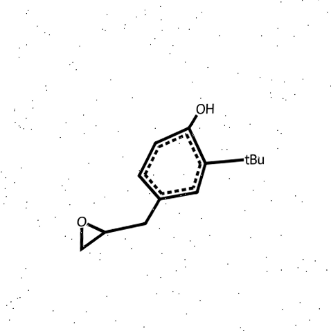 CC(C)(C)c1cc(CC2CO2)ccc1O